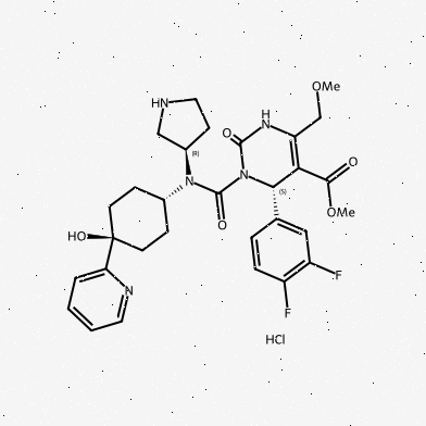 COCC1=C(C(=O)OC)[C@H](c2ccc(F)c(F)c2)N(C(=O)N([C@@H]2CCNC2)[C@H]2CC[C@@](O)(c3ccccn3)CC2)C(=O)N1.Cl